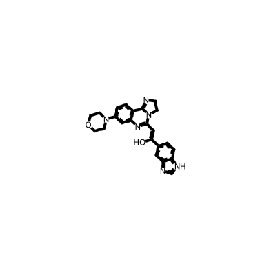 OC(=CC1=Nc2cc(N3CCOCC3)ccc2C2=NCCN12)c1ccc2[nH]cnc2c1